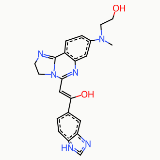 CN(CCO)c1ccc2c(c1)N=C(/C=C(\O)c1ccc3[nH]cnc3c1)N1CCN=C21